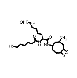 NC1CC(NC(=O)[C@H](CCCCNC=O)NC(=O)CCCCCS)CCC2SSC2C1